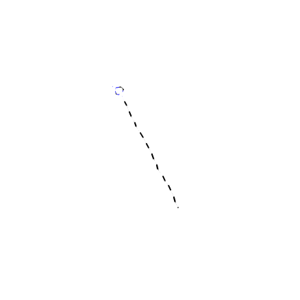 C#CC#CC#CC#CC#CC#CC#CC#CC#CC#CC#Cn1ccnc1